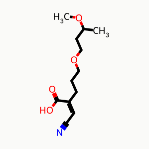 COC(C)CCOCCCC(=CC#N)C(=O)O